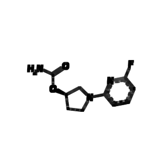 NC(=O)O[C@@H]1CCN(c2cccc(F)n2)C1